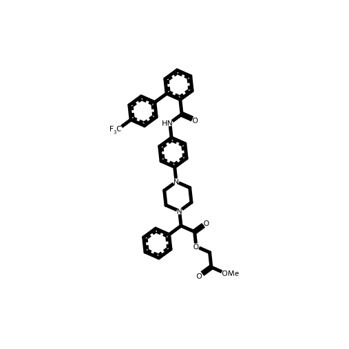 COC(=O)COC(=O)C(c1ccccc1)N1CCN(c2ccc(NC(=O)c3ccccc3-c3ccc(C(F)(F)F)cc3)cc2)CC1